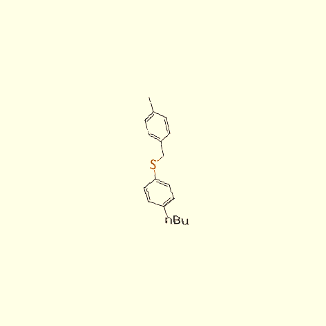 CCCCc1ccc(SCc2ccc(C)cc2)cc1